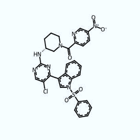 O=C(c1ccc([N+](=O)[O-])cn1)N1CCC[C@@H](Nc2ncc(Cl)c(-c3cn(S(=O)(=O)c4ccccc4)c4ccccc34)n2)C1